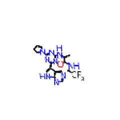 CC(Nc1nc(-c2c[nH]c3ncncc23)nc(N2CCCC2)n1)C(=O)NCC(F)(F)F